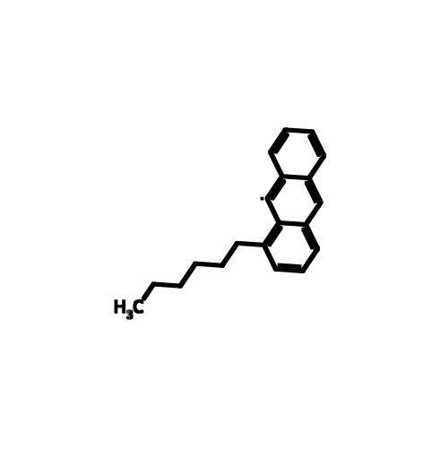 CCCCCCc1cccc2cc3ccccc3[c]c12